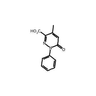 Cc1cc(=O)n(-c2ccccc2)nc1C(=O)O